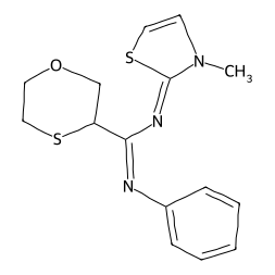 Cn1ccsc1=NC(=Nc1ccccc1)C1COCCS1